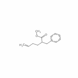 C=CCCC(Cc1ccccc1)C(=O)OC